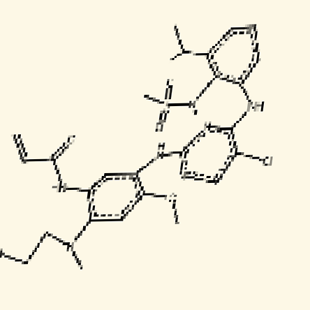 C=CC(=O)Nc1cc(Nc2ncc(Cl)c(Nc3cccc(C(C)C)c3N(C)S(C)(=O)=O)n2)c(OC)cc1N(C)CCN(C)C